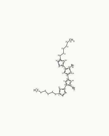 CCCCCCc1ccc(-c2cc(-c3cc(-c4ccc(CCCCCC)s4)c(Br)s3)sc2Br)s1